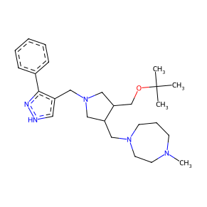 CN1CCCN(CC2CN(Cc3c[nH]nc3-c3ccccc3)CC2COC(C)(C)C)CC1